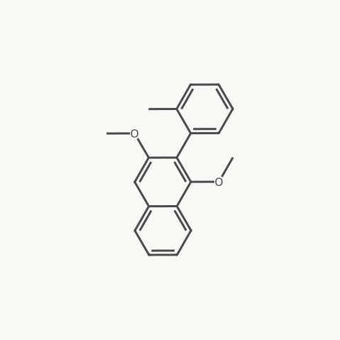 COc1cc2ccccc2c(OC)c1-c1ccccc1C